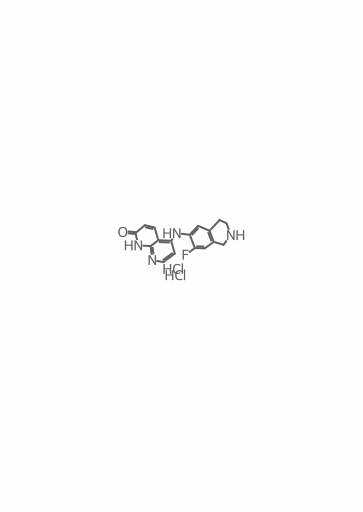 Cl.Cl.O=c1ccc2c(Nc3cc4c(cc3F)CNCC4)ccnc2[nH]1